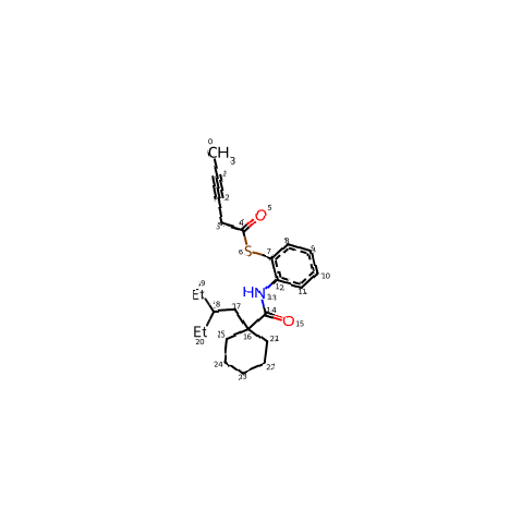 CC#CCC(=O)Sc1ccccc1NC(=O)C1(CC(CC)CC)CCCCC1